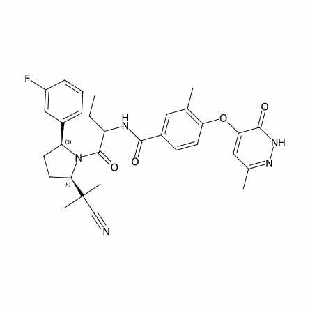 CCC(NC(=O)c1ccc(Oc2cc(C)n[nH]c2=O)c(C)c1)C(=O)N1[C@H](c2cccc(F)c2)CC[C@@H]1C(C)(C)C#N